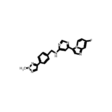 Cn1ncc(-c2ccc(CNc3cc(-c4cnc5cc(F)ccn45)ncn3)cc2)n1